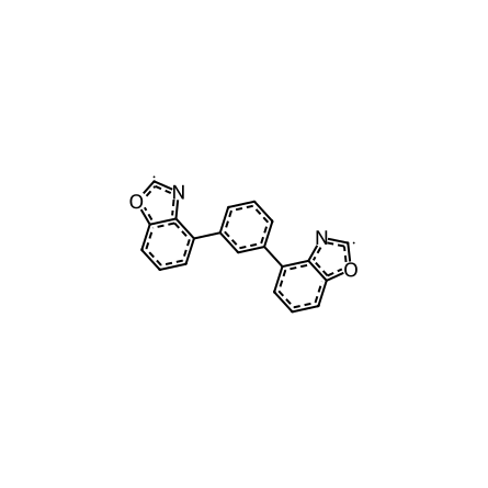 [c]1nc2c(-c3cccc(-c4cccc5o[c]nc45)c3)cccc2o1